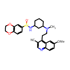 COc1ccc2ncc(C#N)c(CCN(C)C3CCCC(N[S+]([O-])c4ccc5c(c4)OCCO5)C3)c2c1